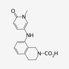 Cn1cc(Nc2cccc3c2CN(C(=O)O)CC3)ccc1=O